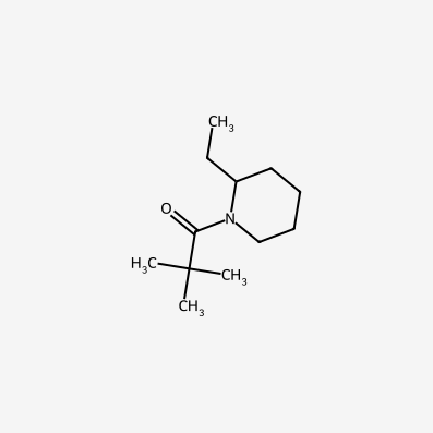 CCC1CCCCN1C(=O)C(C)(C)C